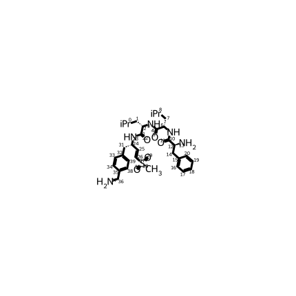 CC(C)C[C@H](NC(=O)[C@H](CC(C)C)NC(=O)[C@@H](N)Cc1ccccc1)C(=O)N[C@H](/C=C/S(C)(=O)=O)Cc1ccc(CN)cc1